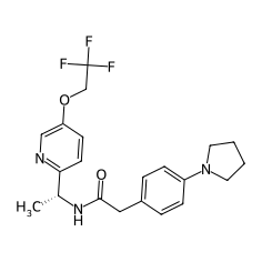 C[C@@H](NC(=O)Cc1ccc(N2CCCC2)cc1)c1ccc(OCC(F)(F)F)cn1